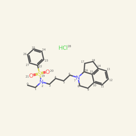 CCN(CCCCN1CCc2cccc3c2C1CC3)S(=O)(=O)c1ccccc1.Cl